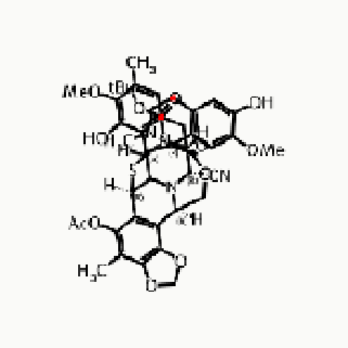 COc1cc2c(cc1O)CCN(C)[C@]21CS[C@@H]2c3c(OC(C)=O)c(C)c4c(c3[C@H](COC1=O)N1C2[C@@H]2c3c(cc(C)c(OC)c3O)C[C@H]([C@@H]1C#N)N2C(=O)OC(C)(C)C)OCO4